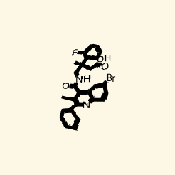 Cc1c(-c2ccccc2)nc2ccc(Br)cc2c1C(=O)NCC(C)(CC(=O)O)c1ccccc1F